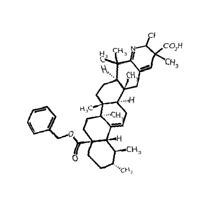 C[C@H]1[C@H](C)CC[C@]2(C(=O)OCc3ccccc3)CC[C@]3(C)C(=CC[C@@H]4[C@@]5(C)CC6=CC(C)(C(=O)O)C(Cl)N=C6C(C)(C)[C@@H]5CC[C@]43C)[C@H]12